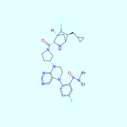 CCN(C(=O)c1cc(F)ccc1N1CCN([C@@H]2CCN(C(=O)[C@H]3NC4C[C@@H]3[C@@H](F)[C@H]4CC3CC3)C2)c2ncncc21)C(C)C